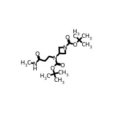 CNC(=O)CCN(C(=O)OC(C)(C)C)C1CN(C(=O)OC(C)(C)C)C1